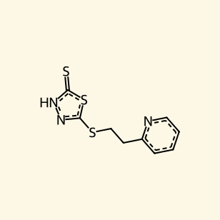 S=c1[nH]nc(SCCc2ccccn2)s1